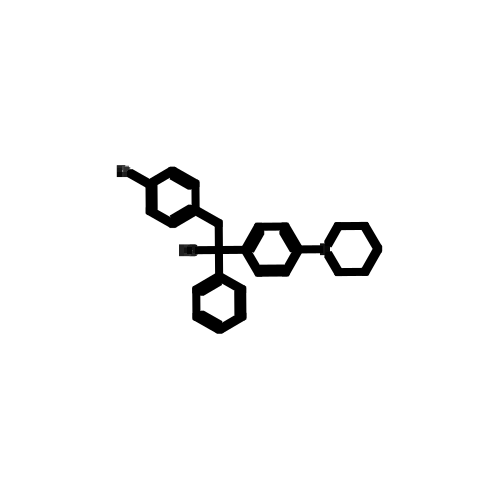 CCc1ccc(CC(O)(c2ccccc2)c2ccc(N3CCCCC3)cc2)cc1